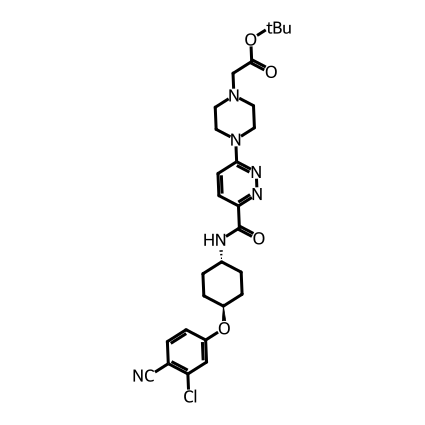 CC(C)(C)OC(=O)CN1CCN(c2ccc(C(=O)N[C@H]3CC[C@H](Oc4ccc(C#N)c(Cl)c4)CC3)nn2)CC1